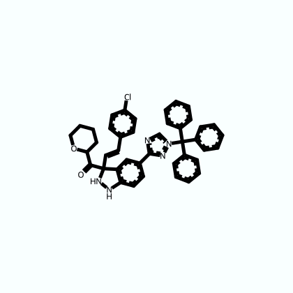 O=C(C1CCCCO1)C1(C=Cc2ccc(Cl)cc2)NNc2ccc(-c3ncn(C(c4ccccc4)(c4ccccc4)c4ccccc4)n3)cc21